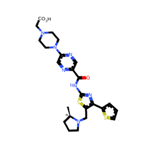 C[C@@H]1CCCN1Cc1sc(NC(=O)c2cnc(N3CCN(CC(=O)O)CC3)cn2)nc1-c1cccs1